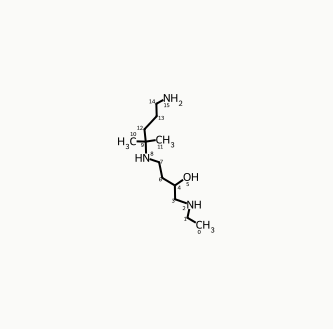 CCNCC(O)CCNC(C)(C)CCCN